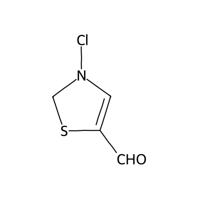 O=CC1=CN(Cl)CS1